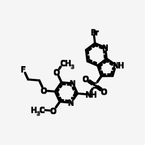 COc1nc(NS(=O)(=O)c2c[nH]c3nc(Br)ccc23)nc(OC)c1OCCF